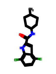 CC1CCC(NC(=O)c2cc3c(Cl)ccc(Cl)c3[nH]2)CC1